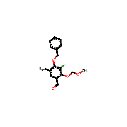 COCOc1c(C=O)cc(C)c(OCc2ccccc2)c1Cl